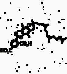 CC(C)=CCCC(C)=CCCC(C)=CCCC1(C)CCc2c(C)c(OC(=O)c3ccc(C(=O)O)cc3C(=O)O)c(C)c(C)c2O1